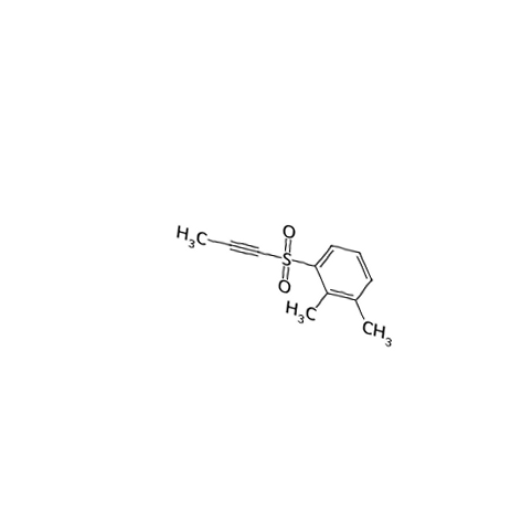 CC#CS(=O)(=O)c1cccc(C)c1C